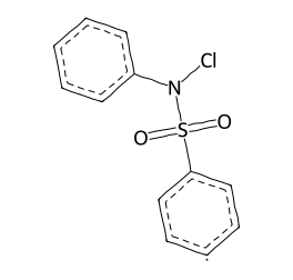 O=S(=O)(c1cc[c]cc1)N(Cl)c1ccccc1